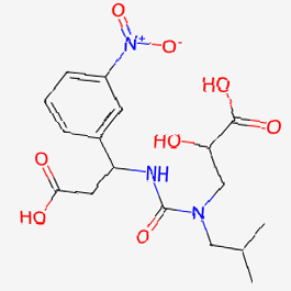 CC(C)CN(CC(O)C(=O)O)C(=O)NC(CC(=O)O)c1cccc([N+](=O)[O-])c1